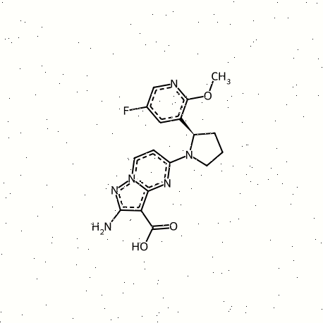 COc1ncc(F)cc1[C@H]1CCCN1c1ccn2nc(N)c(C(=O)O)c2n1